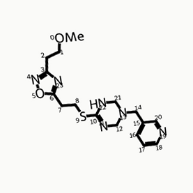 COCCc1noc(CCSC2=NCN(Cc3cccnc3)CN2)n1